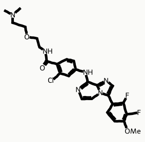 COc1ccc(-c2cnc3c(Nc4ccc(C(=O)NCCOCCN(C)C)c(Cl)c4)nccn23)c(F)c1F